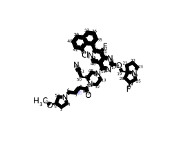 CO[C@@H]1CCN(C/C=C/C(=O)N2CCN(c3nc(OC[C@@]45CCCN4C[C@H](F)C5)nc4c(F)c(-c5cccc6cccc(Cl)c56)ncc34)C[C@@H]2CC#N)C1